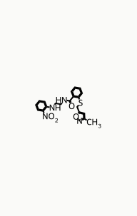 Cc1cc(CSc2ccccc2C(=O)NCCNc2ccccc2[N+](=O)[O-])on1